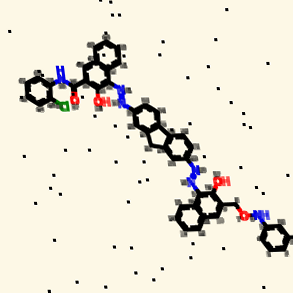 Cc1cccc(NOCc2cc3ccccc3c(N=Nc3ccc4c(c3)Cc3cc(N=Nc5c(O)c(C(=O)Nc6ccccc6Cl)cc6ccccc56)ccc3-4)c2O)c1